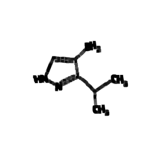 Bc1c[nH]nc1C(C)C